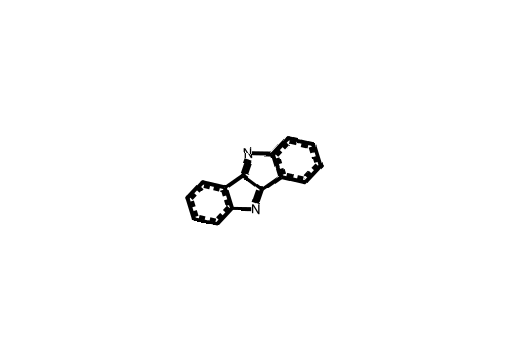 c1ccc2c(c1)N=C1C2=Nc2ccccc21